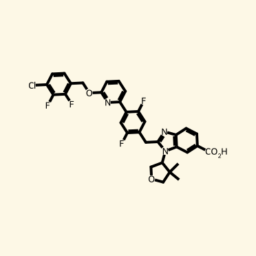 CC1(C)COCC1n1c(Cc2cc(F)c(-c3cccc(OCc4ccc(Cl)c(F)c4F)n3)cc2F)nc2ccc(C(=O)O)cc21